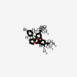 Cl.Cl.[CH2]=[Zr]([C]1=CC=CC1)([c]1ccc(Br)cc1)([c]1ccc(Br)cc1)[c]1c(C)c(C(C)(C)C)cc2c1Cc1cc(C)c(C(C)(C)C)cc1-2